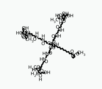 BC1C(O)C(CO)OC(OCCCCC(=O)NCCCNC(=O)CCOCC(COCCC(=O)NCCCNC(=O)CCCCOC2OC(CO)C(O)C(O)C2NC(C)=O)(COCCC(=O)NCCCNC(=O)CCCCOC2OC(CO)C(O)C(O)C2NC(C)=O)NC(=O)CCCCCCCCCCC(=O)N2CCC[C@H]2COC)C1NC(C)=O